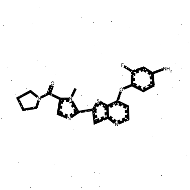 Cn1c(C(=O)N2CCCC2)cnc1-c1cc2nccc(Oc3ccc(N)cc3F)c2s1